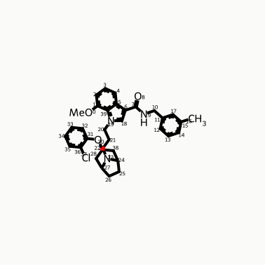 COc1cccc2c(C(=O)NCc3cccc(C)c3)cn(CCCN3C4CCC3CC(Oc3ccccc3Cl)C4)c12